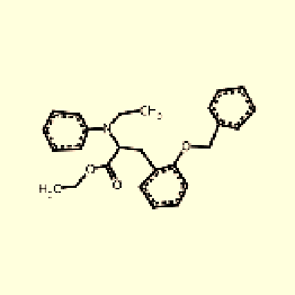 CCOC(=O)C(Cc1ccccc1OCc1ccccc1)N(CC)c1ccccc1